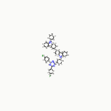 Fc1ccc(-c2nc(-c3ccc(F)cc3)nc(-c3cccc(-n4c5ccccc5c5cc(-c6ccc7c(c6)c6ccccc6n7-c6ccccc6)ccc54)c3)n2)cc1